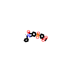 C[C@@H](c1ccccc1)N1Cc2cc(S(=O)(=O)c3ccc4c(c3)OCCO4)ccc2C1=O